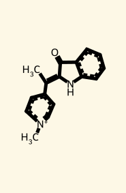 CC(=C1Nc2ccccc2C1=O)c1cc[n+](C)cc1